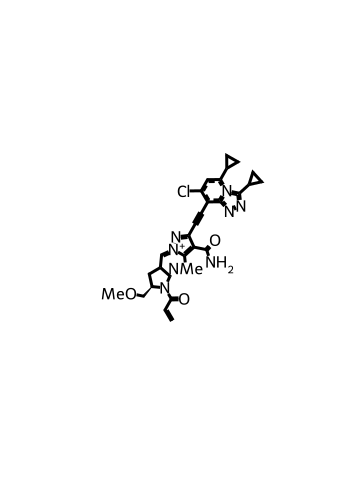 C=CC(=O)N1CC(/C=[N+]2/N=C(C#Cc3c(Cl)cc(C4CC4)n4c(C5CC5)nnc34)C(C(N)=O)=C2NC)C[C@@H]1COC